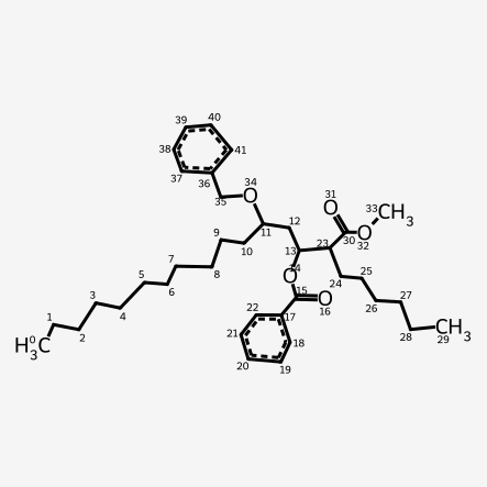 CCCCCCCCCCCC(CC(OC(=O)c1ccccc1)C(CCCCCC)C(=O)OC)OCc1ccccc1